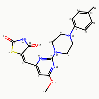 COc1cc(/C=C2/SC(=O)NC2=O)nc(N2CCN(c3ccc(C)cc3)CC2)n1